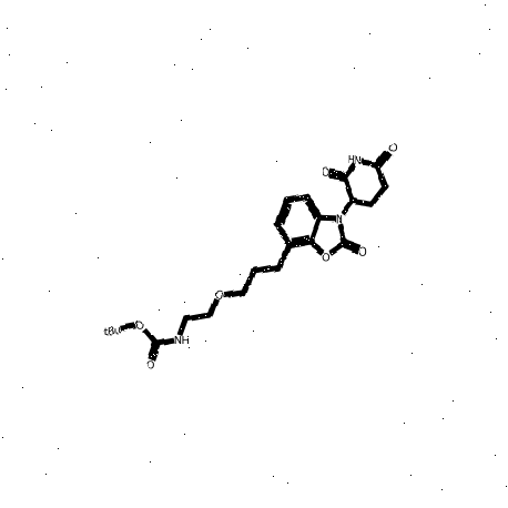 CC(C)(C)OC(=O)NCCOCCCc1cccc2c1oc(=O)n2C1CCC(=O)NC1=O